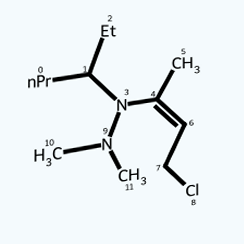 CCCC(CC)N(/C(C)=C\CCl)N(C)C